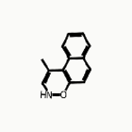 CC1=CNOc2ccc3ccccc3c21